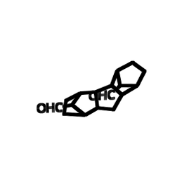 O=CC1C2CCC1C1C2CC2C3CCC(C3C=O)C21